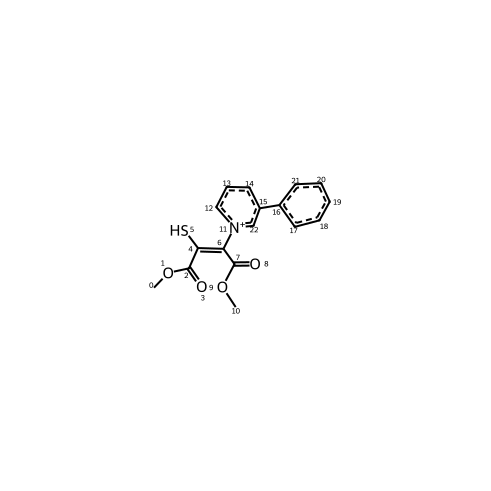 COC(=O)/C(S)=C(\C(=O)OC)[n+]1cccc(-c2ccccc2)c1